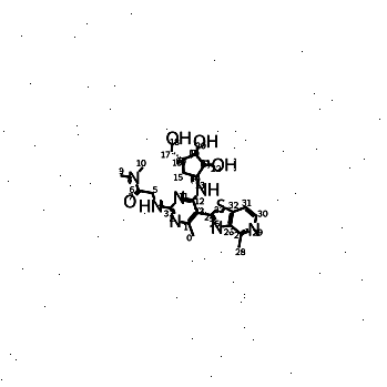 Cc1nc(NCC(=O)N(C)C)nc(N[C@@H]2C[C@H](CO)[C@@H](O)[C@H]2O)c1-c1nc2c(C)nccc2s1